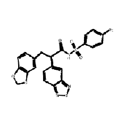 CC(C)c1ccc(S(=O)(=O)NC(=O)C(Cc2ccc3c(c2)OCO3)c2ccc3nsnc3c2)cc1